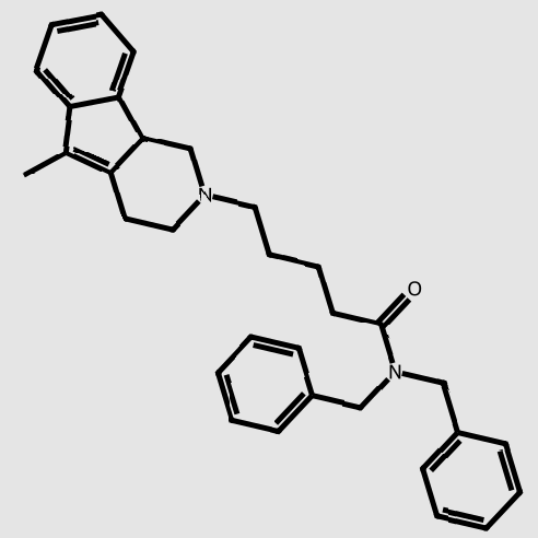 CC1=C2CCN(CCCCC(=O)N(Cc3ccccc3)Cc3ccccc3)CC2c2ccccc21